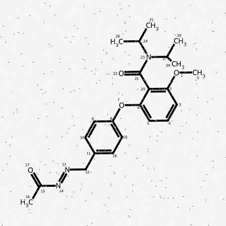 COc1cccc(Oc2ccc(CN=NC(C)=O)cc2)c1C(=O)N(C(C)C)C(C)C